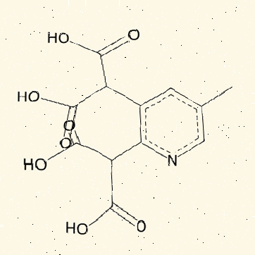 Cc1cnc(C(C(=O)O)C(=O)O)c(C(C(=O)O)C(=O)O)c1